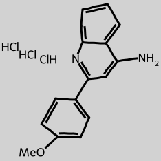 COc1ccc(-c2cc(N)c3ccccc3n2)cc1.Cl.Cl.Cl